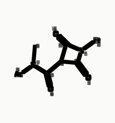 CCN1C(=O)C(C(=O)N(C)C(C)=O)C1=O